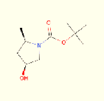 C[C@@H]1C[C@H](O)CN1C(=O)OC(C)(C)C